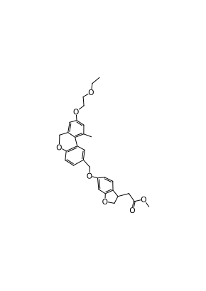 CCOCCOc1cc(C)c2c(c1)COc1ccc(COc3ccc4c(c3)OCC4CC(=O)OC)cc1-2